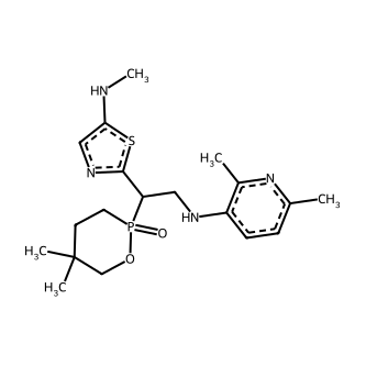 CNc1cnc(C(CNc2ccc(C)nc2C)P2(=O)CCC(C)(C)CO2)s1